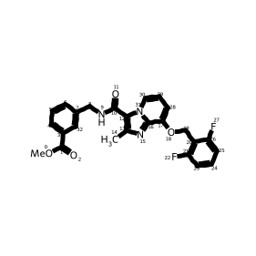 COC(=O)c1cccc(CNC(=O)c2c(C)nc3c(OCc4c(F)cccc4F)cccn23)c1